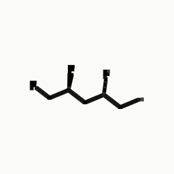 [CH2]CC(F)C[C@H](F)CF